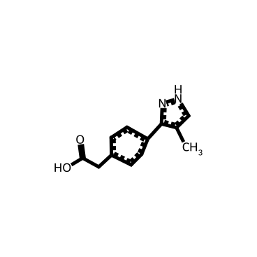 Cc1c[nH]nc1-c1ccc(CC(=O)O)cc1